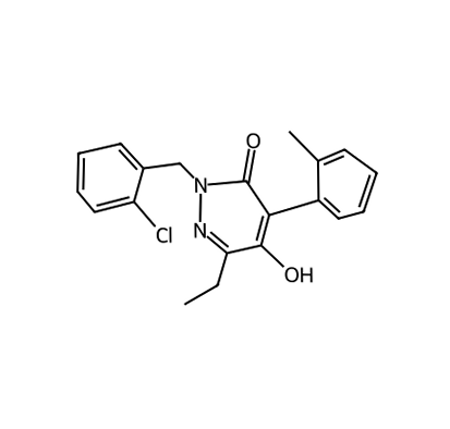 CCc1nn(Cc2ccccc2Cl)c(=O)c(-c2ccccc2C)c1O